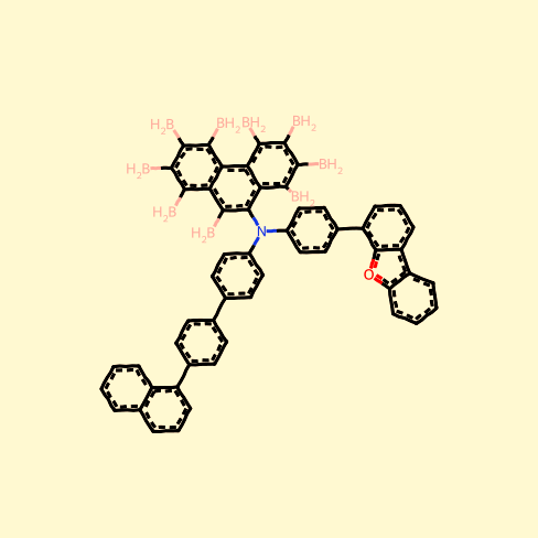 Bc1c(B)c(B)c2c(c1B)c(B)c(N(c1ccc(-c3ccc(-c4cccc5ccccc45)cc3)cc1)c1ccc(-c3cccc4c3oc3ccccc34)cc1)c1c(B)c(B)c(B)c(B)c12